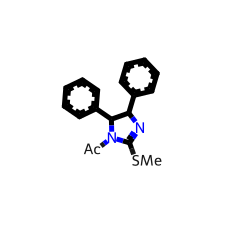 CSC1=NC(c2ccccc2)C(c2ccccc2)N1C(C)=O